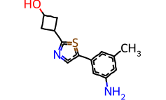 Cc1cc(N)cc(-c2cnc(C3CC(O)C3)s2)c1